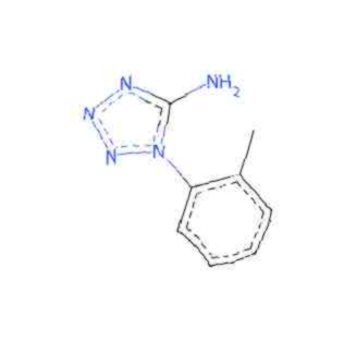 Cc1ccccc1-n1nnnc1N